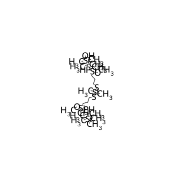 CO[Si](C)(CCCS[Si](C)(C)SCCC[Si](C)(OC)PC(C)(C)[Si](C)(C)O)PC(C)(C)[Si](C)(C)C